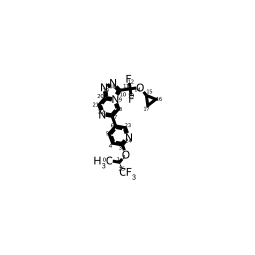 C[C@H](Oc1ccc(-c2cn3c(C(F)(F)OC4CC4)nnc3cn2)cn1)C(F)(F)F